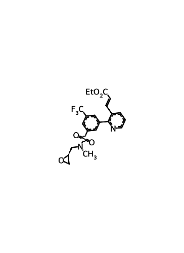 CCOC(=O)/C=C/c1cccnc1-c1cc(C(F)(F)F)cc(S(=O)(=O)N(C)C[C@H]2CO2)c1